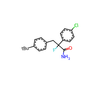 CC(C)(C)c1ccc(CC(F)(C(N)=O)c2ccc(Cl)cc2)cc1